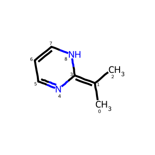 CC(C)=C1N=CC=CN1